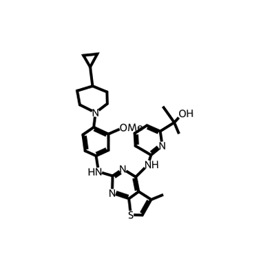 COc1cc(Nc2nc(Nc3cccc(C(C)(C)O)n3)c3c(C)csc3n2)ccc1N1CCC(C2CC2)CC1